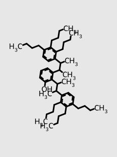 CCCCc1ccc(C(C)C(C)c2cccc(O)c2C(C)C(C)c2ccc(CCCC)c(CCCC)c2CCCC)c(CCCC)c1CCCC